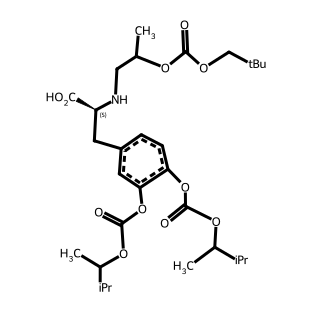 CC(CN[C@@H](Cc1ccc(OC(=O)OC(C)C(C)C)c(OC(=O)OC(C)C(C)C)c1)C(=O)O)OC(=O)OCC(C)(C)C